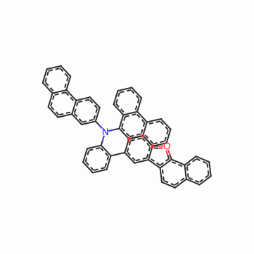 c1ccc(N(c2ccc3c(ccc4ccccc43)c2)c2cc3ccccc3c3ccccc23)c(-c2ccc3oc4c5ccccc5ccc4c3c2)c1